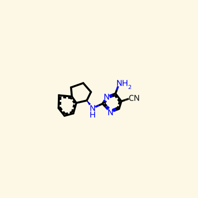 N#Cc1cnc(N[C@@H]2CCCc3ccccc32)nc1N